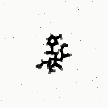 CCCCOC(=O)CC(CC(=O)OCCCC)(OC(=O)c1cccc(Cl)c1)C(=O)OCCCC